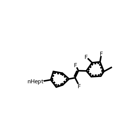 CCCCCCCc1ccc(/C(F)=C(\F)c2ccc(C)c(F)c2F)cc1